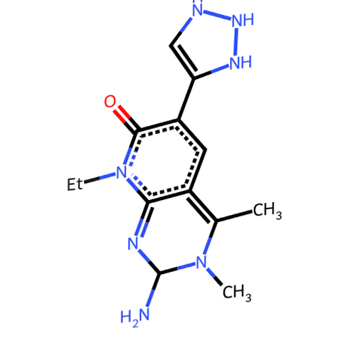 CCn1c(=O)c(C2=CNNN2)cc2c1=NC(N)N(C)C=2C